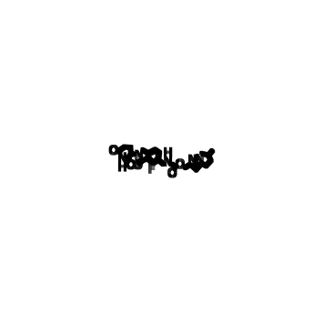 CC1CCc2cc(COC(=O)NCc3ccc4c(c3F)C(=O)N(C3CCC(=O)NC3=O)C4)nn2C1